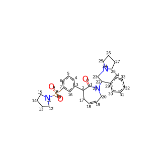 O=C1C(c2cccc(S(=O)(=O)N3CCCC3)c2)CC=CCN1C(CN1CCCC1)c1ccccc1